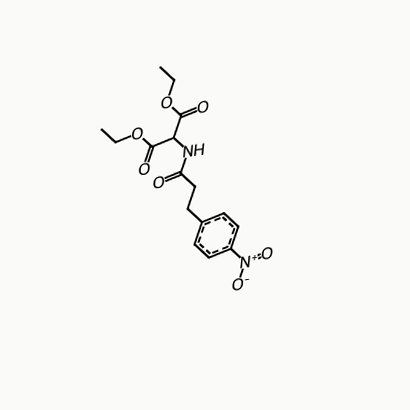 CCOC(=O)C(NC(=O)CCc1ccc([N+](=O)[O-])cc1)C(=O)OCC